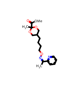 COC(=O)C1(C)OCC(CCCCON=C(C)c2ccccn2)CO1